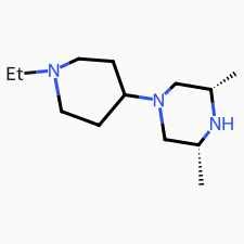 CCN1CCC(N2C[C@@H](C)N[C@@H](C)C2)CC1